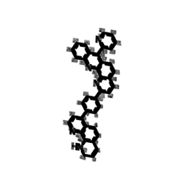 C1=Cc2ccc3c(-c4ccc(-c5ccc6ccc7c(-c8ccccn8)c8ccccc8nc7c6n5)cc4)ccnc3c2NC1